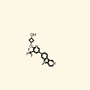 Cn1c2ccncc2c2ccc(-c3cnc(O[C@H]4C[C@@H](O)C4)c(C(F)(F)F)c3)cc21